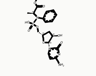 COC(=O)[C@H](C)N(c1ccccc1)P(=O)(O)OC[C@@H]1C[C@@H](O)[C@H](n2ccc(N)nc2=O)O1